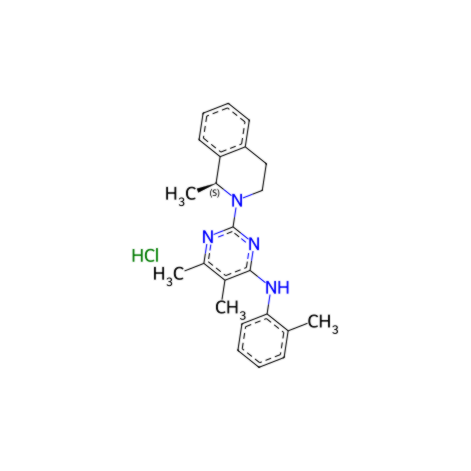 Cc1ccccc1Nc1nc(N2CCc3ccccc3[C@@H]2C)nc(C)c1C.Cl